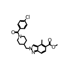 COC(=O)c1ccc2nn(CC3CCN(C(=O)c4ccc(Cl)cc4)CC3)cc2c1C